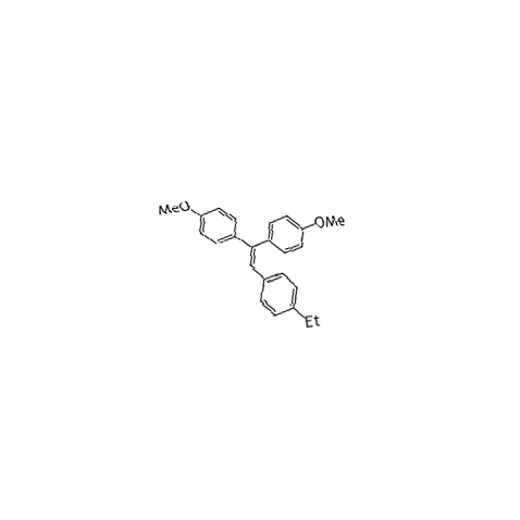 CCc1ccc(C=C(c2ccc(OC)cc2)c2ccc(OC)cc2)cc1